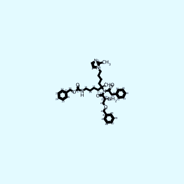 Cc1nccn1CCCC[C@@]([C]=O)(CCCCNC(=O)OCc1ccccc1)N(C(=O)Cc1ccccc1)C(=O)[C@@H](N)COCc1ccccc1